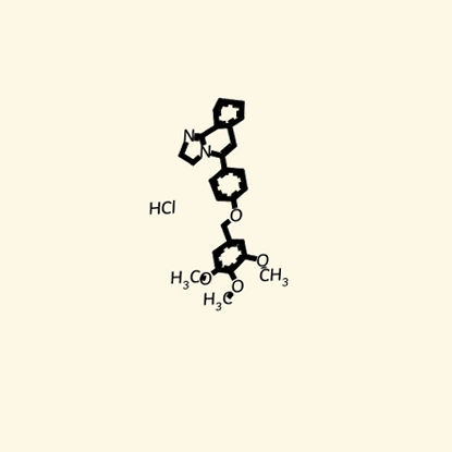 COc1cc(COc2ccc(C3=Cc4ccccc4C4=NCCN34)cc2)cc(OC)c1OC.Cl